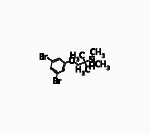 C[SiH](C)C(C)(C)COc1cc(Br)cc(Br)c1